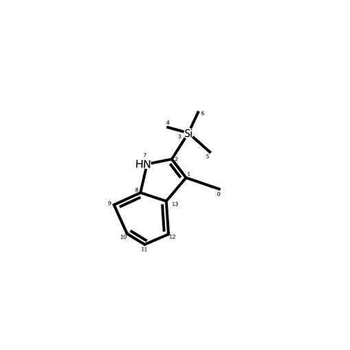 Cc1c([Si](C)(C)C)[nH]c2ccccc12